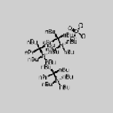 CCCCC(CCC)(CCCC)[N+](CCCC)(CCCC)CCCC.CCCCC(CCC)(CCCC)[N+](CCCC)(CCCC)CCCC.CCCCC(CCC)(CCCC)[N+](CCCC)(CCCC)CCCC.O=P([O-])([O-])[O-]